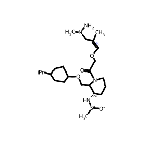 C/C(=C/OCC(=O)N1CCC[C@H](N[S+](C)[O-])C1COC1CCC(C(C)C)CC1)CN(C)N